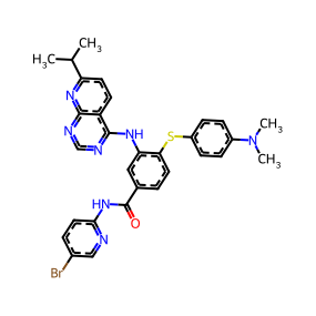 CC(C)c1ccc2c(Nc3cc(C(=O)Nc4ccc(Br)cn4)ccc3Sc3ccc(N(C)C)cc3)ncnc2n1